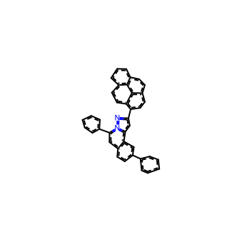 c1ccc(-c2ccc3cc(-c4ccccc4)n4nc(-c5ccc6ccc7cccc8ccc5c6c78)cc4c3c2)cc1